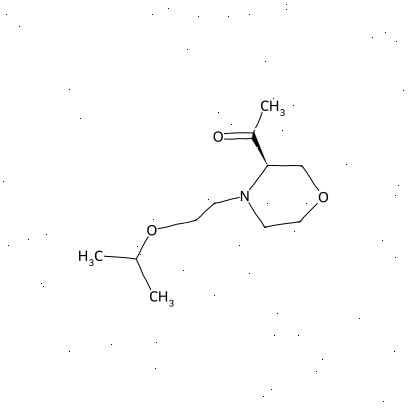 CC(=O)[C@H]1COCCN1CCOC(C)C